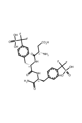 NC(=O)[C@H](Cc1ccc(C(F)(F)P(=O)(O)O)cc1)NC(=O)[C@H](Cc1ccc(C(F)(F)P(=O)(O)O)cc1)NC(=O)[C@@H](N)CC(=O)O